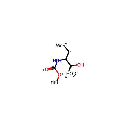 CSCC(NC(=O)OC(C)(C)C)C(O)C(=O)O